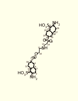 Nc1ccc2cc(SOOCCNCCS(=O)(=O)c3ccc4c(S(=O)(=O)O)c(N)ccc4c3)ccc2c1S(=O)(=O)O